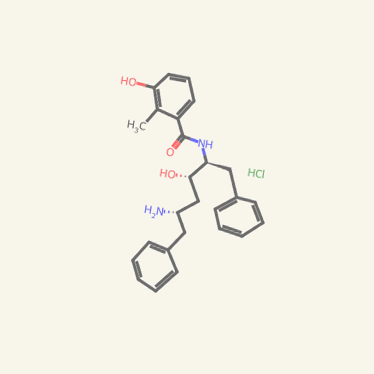 Cc1c(O)cccc1C(=O)N[C@@H](Cc1ccccc1)[C@@H](O)C[C@@H](N)Cc1ccccc1.Cl